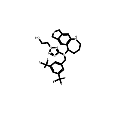 OCCn1nnc(N(Cc2cc(C(F)(F)F)cc(C(F)(F)F)c2)C2CCCNc3cc4c(cc32)COC4)n1